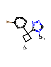 Cn1cnnc1[C@]1(c2cccc(Br)c2)C[C@@H](C#N)C1